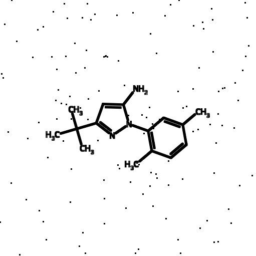 Cc1ccc(C)c(-n2nc(C(C)(C)C)cc2N)c1